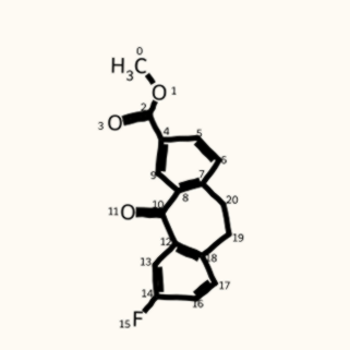 COC(=O)c1ccc2c(c1)C(=O)c1cc(F)ccc1CC2